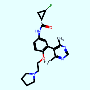 Cc1ncnc(C)c1-c1cc(NC(=O)[C@@H]2C[C@@H]2F)ccc1OCCN1CCCC1